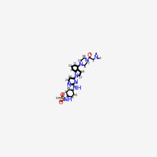 CN(C)CC(=O)N1CCN(c2cccc3c2ccn3-c2ccnc(N[C@H]3CC[C@H](NS(C)(=O)=O)CC3)n2)CC1